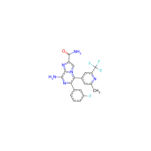 Cc1cc(-c2c(-c3cccc(F)c3)nc(N)c3nc(C(N)=O)cn23)cc(C(F)(F)F)n1